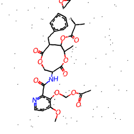 C1CO1.COc1ccnc(C(=O)NC2COC(=O)C(Cc3ccccc3)C(OC(=O)C(C)C)C(C)OC2=O)c1OCOC(C)=O